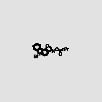 CCCC(=O)O/N=C1\COc2c1ccc1c2c2ccccc2n1CC